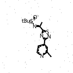 CC(=N[S@+]([O-])C(C)(C)C)c1nc(-c2ccnc(C)c2)ns1